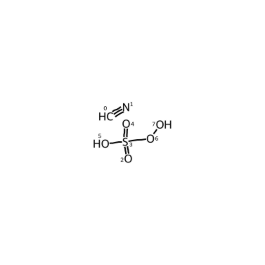 C#N.O=S(=O)(O)OO